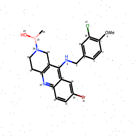 COc1ccc(CNc2c3c(nc4ccc(Br)cc24)CCN(B(C)O)C3)cc1Cl